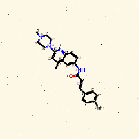 CCCc1ccc(/C=C/C(=O)Nc2ccc3nc(N4CCN(C)CC4)cc(C)c3c2)cc1